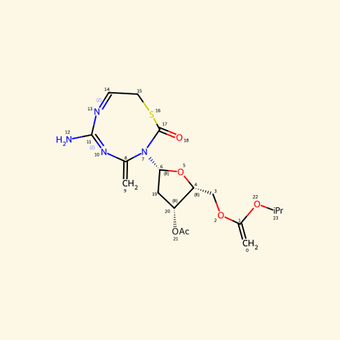 C=C(OC[C@H]1O[C@@H](N2C(=C)/N=C(N)\N=C/CSC2=O)C[C@H]1OC(C)=O)OC(C)C